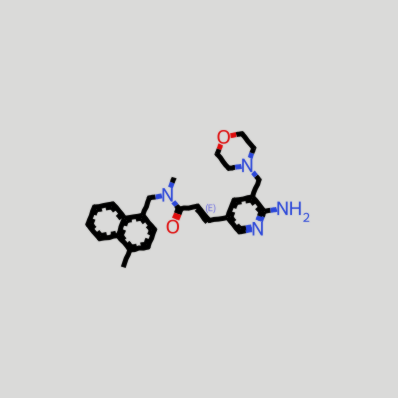 Cc1ccc(CN(C)C(=O)/C=C/c2cnc(N)c(CN3CCOCC3)c2)c2ccccc12